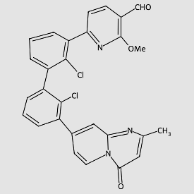 COc1nc(-c2cccc(-c3cccc(-c4ccn5c(=O)cc(C)nc5c4)c3Cl)c2Cl)ccc1C=O